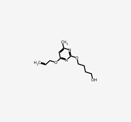 C=CCOc1cc(C)nc(OCCCCO)n1